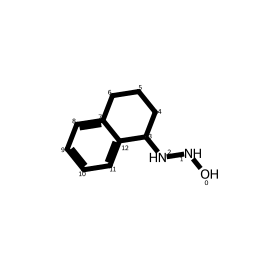 ONNC1CCCc2ccccc21